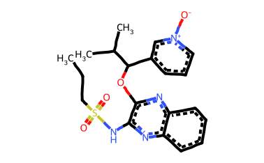 CCCS(=O)(=O)Nc1nc2ccccc2nc1OC(c1ccc[n+]([O-])c1)C(C)C